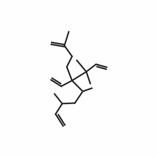 C=CC(C)C[C](C)C(C=C)(CCC(=C)C)C(C)(C)C=C